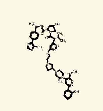 CNc1nnc(-c2ccccc2O)cc1N1CCN(C2CCN(CCOc3cc([C@H](C(=O)N4C[C@H](O)C[C@H]4C(=O)N[C@@H](C)c4ccc(-c5scnc5C)cc4)C(C)C)on3)C2)C[C@@H]1C